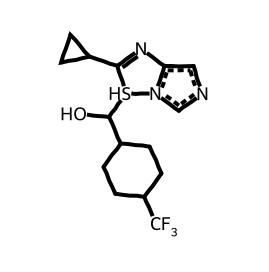 OC(C1CCC(C(F)(F)F)CC1)[SH]1C(C2CC2)=Nc2cncn21